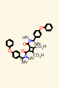 CCC[C@@H](c1ccc(Oc2ccccc2)cc1)N(CCC)C(=O)C1C(C(=O)O)C(C(=O)O)C1C(=O)N(CCC)[C@@H](CCC)c1ccc(Oc2ccccc2)cc1